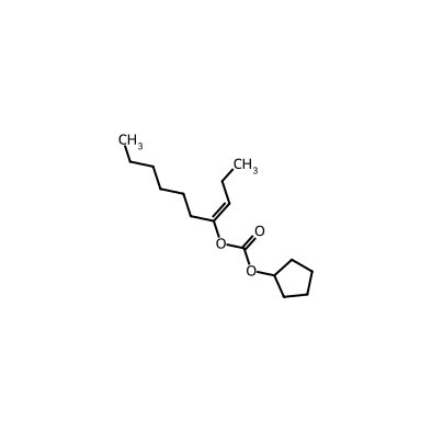 CCC=C(CCCCCC)OC(=O)OC1CCCC1